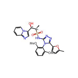 COc1cccc(OC)c1-n1c(NS(=O)(=O)[C@H](C)[C@H](O)c2cnc3ccccn23)nnc1-c1ccc(C)o1